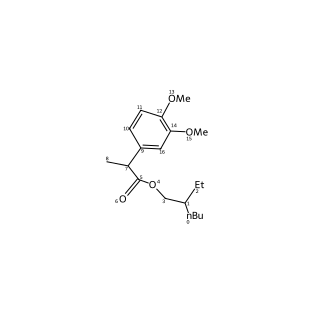 CCCCC(CC)COC(=O)C(C)c1ccc(OC)c(OC)c1